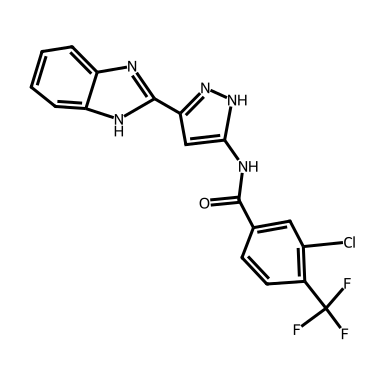 O=C(Nc1cc(-c2nc3ccccc3[nH]2)n[nH]1)c1ccc(C(F)(F)F)c(Cl)c1